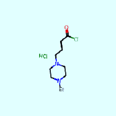 CCN1CCN(CCCC(=O)Cl)CC1.Cl